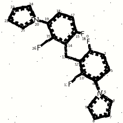 Fc1ccc(-n2cccc2)c(F)c1Cc1c(F)ccc(-n2cccc2)c1F